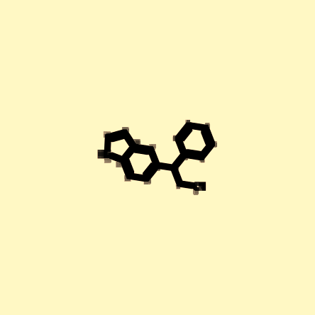 N#CCC(c1ccccc1)c1ccc2[nH]ccc2c1